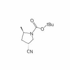 C[C@@H]1C[C@@H](C#N)CN1C(=O)OC(C)(C)C